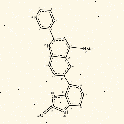 CNc1nc(-c2cccnc2)nc2ccc(-c3cccc4[nH]c(=O)oc34)cc12